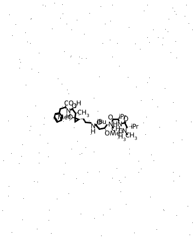 CC[C@H](C)[C@@H]([C@@H](CC(=O)NCCC[C@@H]1C[C@]1(OC)[C@@H](C)C(=O)N[C@@H](Cc1ccccc1)C(=O)O)OC)N(C)C(=O)[C@@H](NC(=O)[C@H](C(C)C)N(C)C)C(C)C